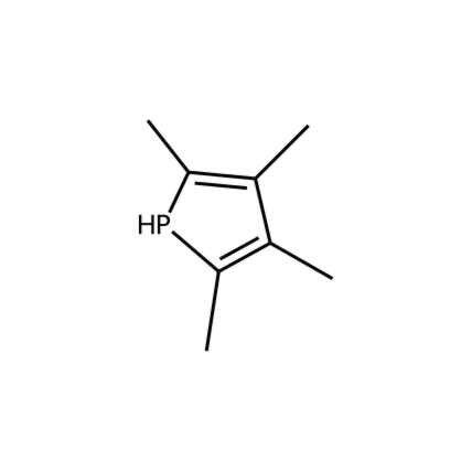 Cc1[pH]c(C)c(C)c1C